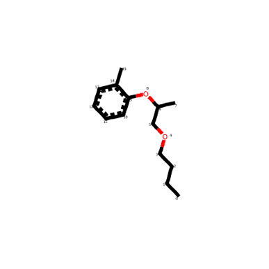 CCCCOCC(C)Oc1ccccc1C